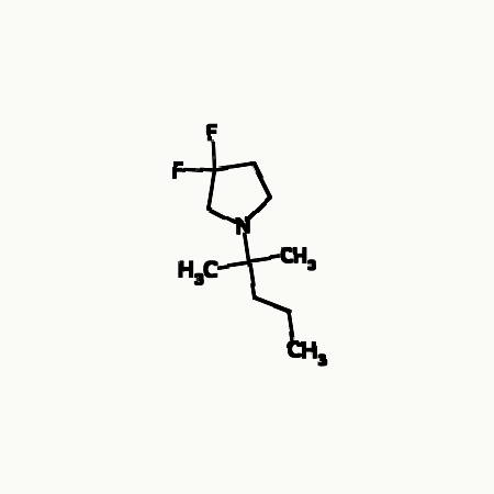 CCCC(C)(C)N1CCC(F)(F)C1